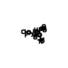 Cc1noc(C)c1-c1ccc(N[C@H]2CCN(S(C)(=O)=O)C2)c(NC(=O)[C@@H](C)Cc2ccc(Cl)c(F)c2)c1